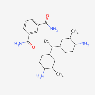 CCC(C1CCC(N)C(C)C1)C1CCC(N)C(C)C1.NC(=O)c1cccc(C(N)=O)c1